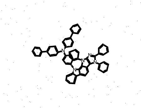 c1ccc(-c2ccc(N(c3ccc(-c4ccccc4)cc3)c3ccc(-n4c5ccccc5c5ccc6c7c(nc(-c8ccccc8)n7-c7ccccc7)n(-c7ccccc7)c6c54)cc3)cc2)cc1